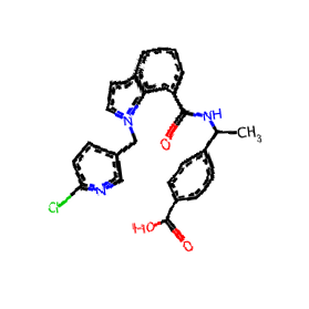 CC(NC(=O)c1cccc2ccn(Cc3ccc(Cl)nc3)c12)c1ccc(C(=O)O)cc1